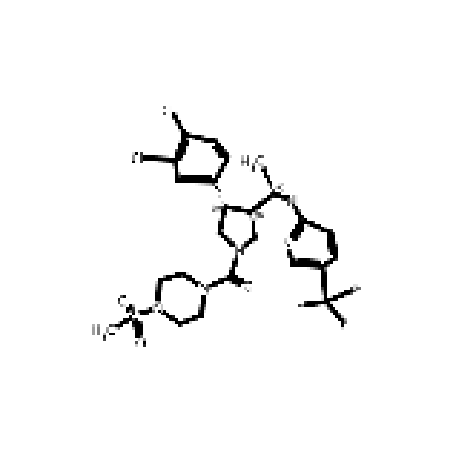 C[C@@H](Nc1ccc(C(F)(F)F)cn1)[C@H]1CN(C(=O)N2CCN(S(C)(=O)=O)CC2)C[C@@H]1c1ccc(Cl)c(Cl)c1